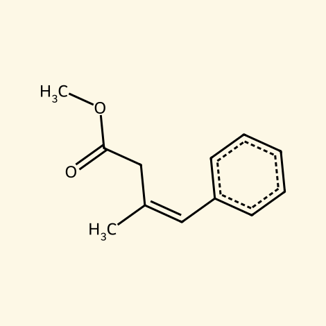 COC(=O)CC(C)=Cc1ccccc1